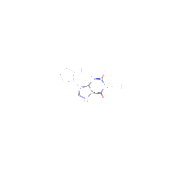 Cn1c(=O)c2ncn(C3CCCC3)c2n(C)c1=O